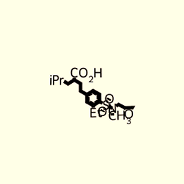 CCc1cc(CCC(CC(C)C)C(=O)O)ccc1S(=O)(=O)N(C)CC1CO1